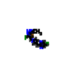 CNc1nc(F)c(CN2CCC(Cc3ncc(F)cn3)C2)s1